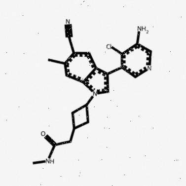 CNC(=O)CC1CC(n2cc(-c3cncc(N)c3Cl)c3cc(C#N)c(C)cc32)C1